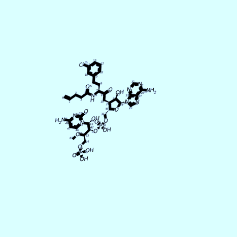 C=CCCC(=O)N[C@@H](CCc1cccc(Cl)c1)C(=O)C[C@H]1[C@@H](O)[C@H](n2cnc3c(N)ncnc32)O[C@@H]1COP(=O)(O)O[C@@H]([C@@H](O)n1ccc(N)nc1=O)[C@@H](COP(=O)(O)O)OC